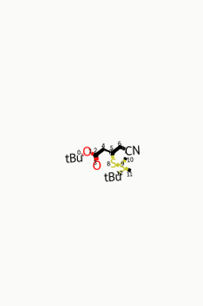 CC(C)(C)OC(=O)C[C@@H](CC#N)SS(C)(C)C(C)(C)C